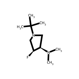 CN(C)[C@@H]1CN(C(C)(C)C)C[C@@H]1F